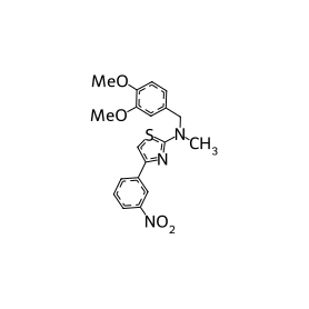 COc1ccc(CN(C)c2nc(-c3cccc([N+](=O)[O-])c3)cs2)cc1OC